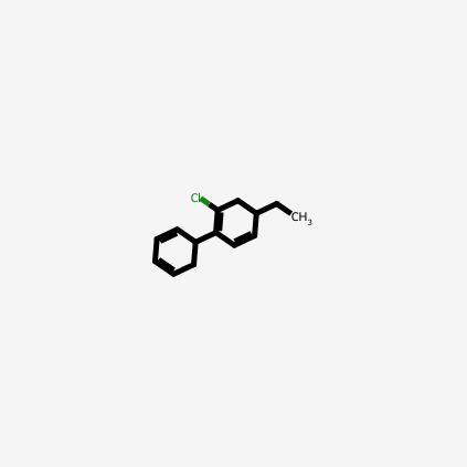 CCC1C=CC(C2C=CC=CC2)=C(Cl)C1